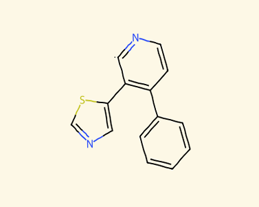 [c]1nccc(-c2ccccc2)c1-c1cncs1